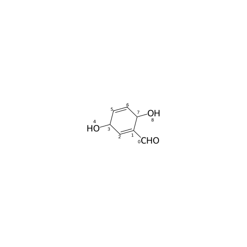 O=CC1=CC(O)C=CC1O